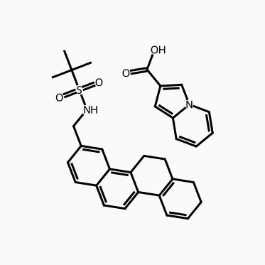 CC(C)(C)S(=O)(=O)NCc1ccc2ccc3c(c2c1)CCC1=C3C=CCC1.O=C(O)c1cc2ccccn2c1